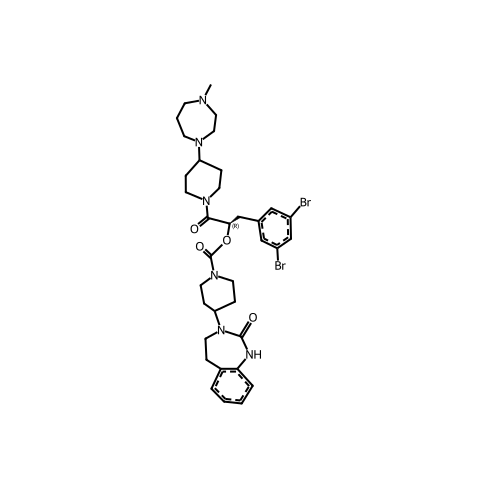 CN1CCCN(C2CCN(C(=O)[C@@H](Cc3cc(Br)cc(Br)c3)OC(=O)N3CCC(N4CCc5ccccc5NC4=O)CC3)CC2)CC1